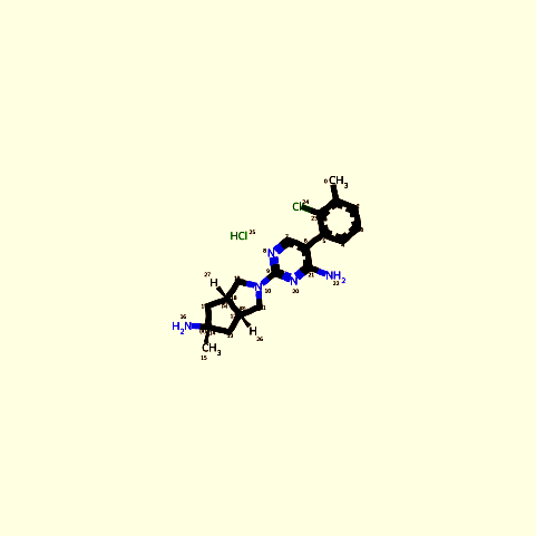 Cc1cccc(-c2cnc(N3C[C@@H]4C[C@](C)(N)C[C@@H]4C3)nc2N)c1Cl.Cl